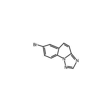 Brc1ccc2c(ccc3ncnn32)c1